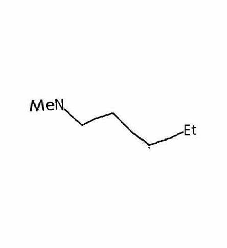 CC[CH]CCNC